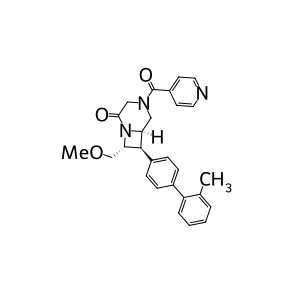 COC[C@H]1[C@H](c2ccc(-c3ccccc3C)cc2)[C@@H]2CN(C(=O)c3ccncc3)CC(=O)N12